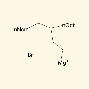 CCCCCCCCCCC(C[CH2][Mg+])CCCCCCCC.[Br-]